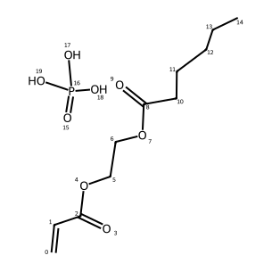 C=CC(=O)OCCOC(=O)CCCCC.O=P(O)(O)O